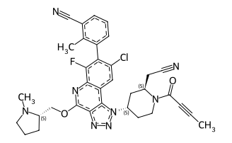 CC#CC(=O)N1CC[C@H](n2nnc3c(OC[C@@H]4CCCN4C)nc4c(F)c(-c5cccc(C#N)c5C)c(Cl)cc4c32)C[C@H]1CC#N